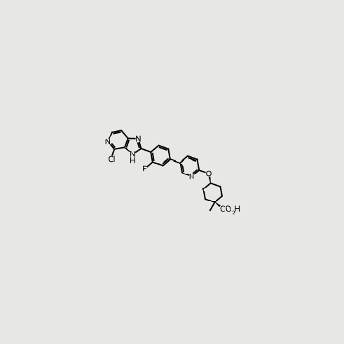 C[C@]1(C(=O)O)CC[C@@H](Oc2ccc(-c3ccc(-c4nc5ccnc(Cl)c5[nH]4)c(F)c3)cn2)CC1